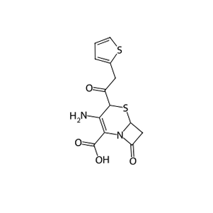 NC1=C(C(=O)O)N2C(=O)CC2SC1C(=O)Cc1cccs1